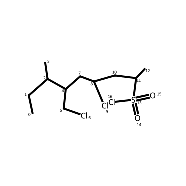 CCC(C)C(CCl)CC(Cl)CC(C)S(=O)(=O)Cl